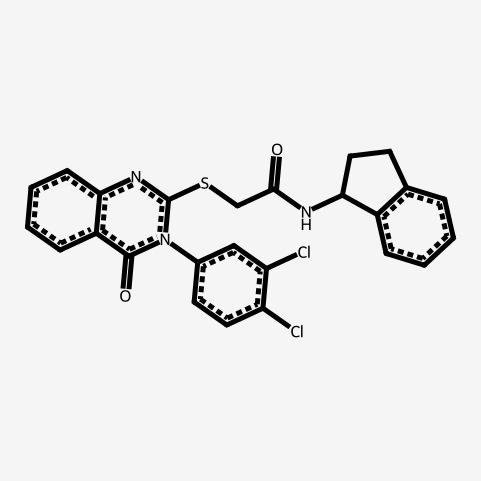 O=C(CSc1nc2ccccc2c(=O)n1-c1ccc(Cl)c(Cl)c1)NC1CCc2ccccc21